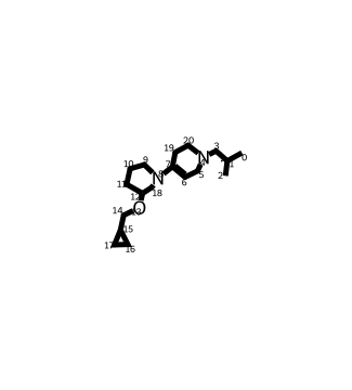 C[C](C)CN1CC=C(N2CCCC(OCC3CC3)C2)CC1